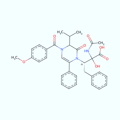 COc1ccc(C(=O)N2C=C(c3ccccc3)N([C@@H](Cc3ccccc3)C(O)(NC(C)=O)C(=O)O)C(=O)C2C(C)C)cc1